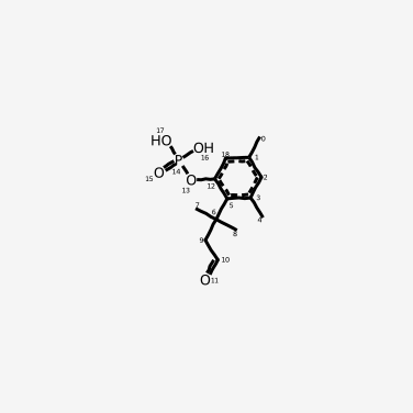 Cc1cc(C)c(C(C)(C)CC=O)c(OP(=O)(O)O)c1